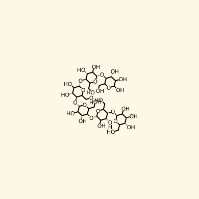 OCC1O[C@@H](O[C@@H]2C(CO)O[C@@H](O[C@@H]3C(CO)O[C@@H](O[C@@H]4C(CO)O[C@@H](O[C@@H]5C(CO)O[C@@H](O[C@@H]6C(CO)OC(O)C(O)[C@H]6O)C(O)[C@H]5O)C(O)[C@H]4O)C(O)[C@H]3O)C(O)[C@H]2O)C(O)[C@@H](O)[C@@H]1O